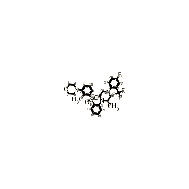 Cc1c(N2CCOCC2)cccc1S(=O)(=O)c1ccccc1N1CCN(c2ccc(F)cc2C(F)(F)F)C[C@H]1C